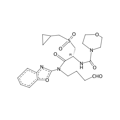 O=CCCCN(C(=O)[C@H](CS(=O)(=O)CC1CC1)NC(=O)N1CCOCC1)c1nc2ccccc2o1